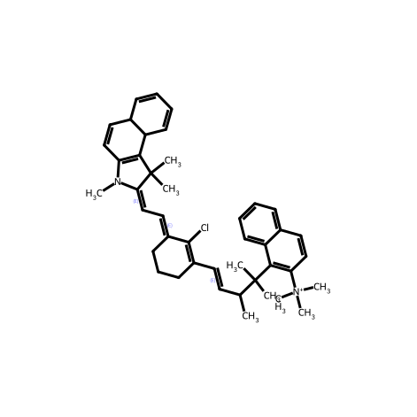 CC(/C=C/C1=C(Cl)C(=C/C=C2/N(C)C3=C(C4C=CC=CC4C=C3)C2(C)C)/CCC1)C(C)(C)c1c([N+](C)(C)C)ccc2ccccc12